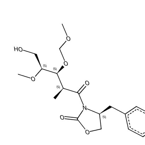 COCO[C@H]([C@H](CO)OC)[C@H](C)C(=O)N1C(=O)OC[C@@H]1Cc1ccccc1